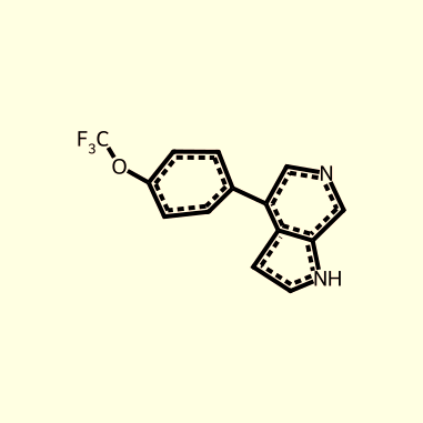 FC(F)(F)Oc1ccc(-c2cncc3[nH]ccc23)cc1